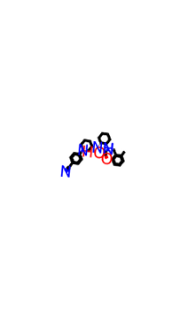 Cc1ccccc1CN(C(=O)O)[C@@H]1CCCC[C@H]1N[C@H]1CCCN(c2ccc(C#N)cc2)C1